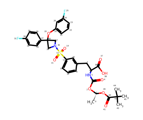 C[C@H](OC(=O)NC(Cc1cccc(S(=O)(=O)N2CC(Oc3cccc(F)c3)(c3ccc(F)cc3)C2)c1)C(=O)O)OC(=O)C(C)(C)C